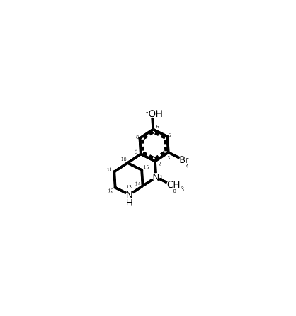 CN1c2c(Br)cc(O)cc2C2CCNC1C2